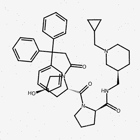 O=C(NC[C@@H]1CCCN(CC2CC2)C1)[C@H]1CCCN1C(=O)[C@@H]1C[C@@H](O)CN1C(=O)CC(c1ccccc1)(c1ccccc1)c1ccccc1